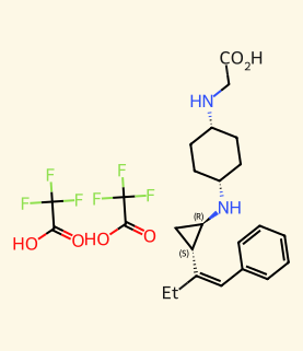 CCC(=Cc1ccccc1)[C@@H]1C[C@H]1N[C@H]1CC[C@@H](NCC(=O)O)CC1.O=C(O)C(F)(F)F.O=C(O)C(F)(F)F